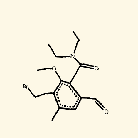 CCN(CC)C(=O)c1c(C=O)cc(C)c(CBr)c1OC